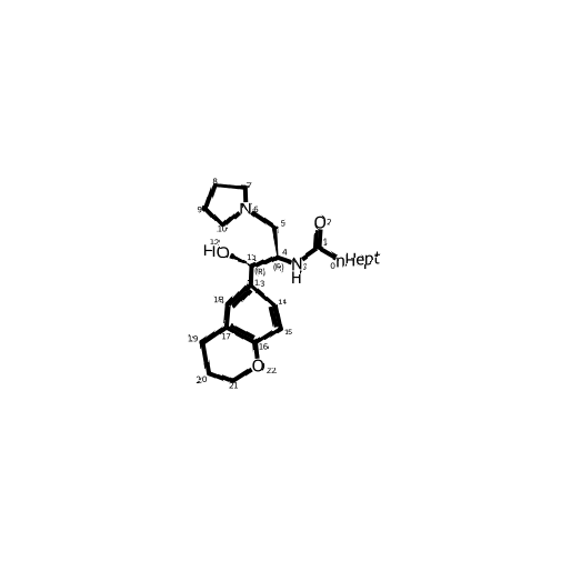 CCCCCCCC(=O)N[C@H](CN1CCCC1)[C@H](O)c1ccc2c(c1)CCCO2